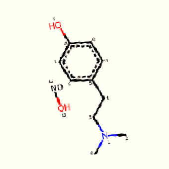 CN(C)CCc1ccc(O)cc1.O=NO